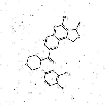 C[C@H]1OCc2c1c(N)nc1ccc(C(=O)N3CCOC[C@H]3c3ccc(F)c(C(F)(F)F)c3)cc21